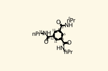 CCCNC(=O)c1cc(C(=O)NCCC)cc(C(=O)NCCC)c1